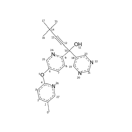 Cc1ccc(Oc2ccc(C(O)(C#CC(C)(C)C)c3cncnc3)nc2)nc1